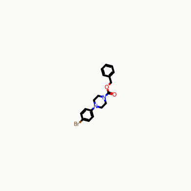 O=C(OCc1ccccc1)N1CCN(c2ccc(Br)cc2)CC1